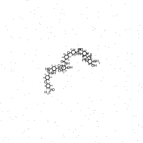 CC(=O)c1ccc(Oc2ccc(C(=O)Nc3cc(C(C)(C)c4ccc(O)c(NC(=O)c5ccc(Oc6ccc(C(=O)Nc7cc(C(c8ccc(O)c(N)c8)(C(F)(F)F)C(F)(F)F)ccc7O)cc6)cc5)c4)ccc3O)cc2)cc1